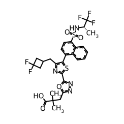 C[C@H](NS(=O)(=O)c1ccc(-c2sc(-c3nnc(CC(C)(C)C(=O)O)o3)nc2CC2CC(F)(F)C2)c2ccccc12)C(F)(F)F